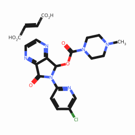 CN1CCN(C(=O)OC2c3nccnc3C(=O)N2c2ccc(Cl)cn2)CC1.O=C(O)C=CC(=O)O